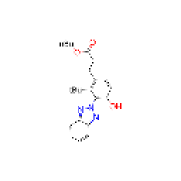 CCCCOC(=O)CCc1ccc(O)c(-n2nc3ccccc3n2)c1C(C)(C)C